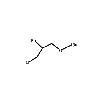 CC(C)(C)OCC(CCl)C(C)(C)C